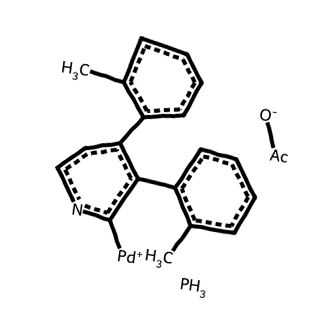 CC(=O)[O-].Cc1ccccc1-c1ccn[c]([Pd+])c1-c1ccccc1C.P